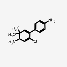 CC1(C)C=C(c2ccc(N)cc2)C(Cl)=CC1N